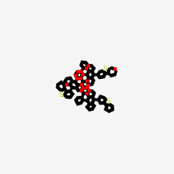 C=Cc1sc2cc(-c3c4ccccc4c(-c4ccccc4-c4ccccc4)c4cc(-c5ccc(-c6ccccc6-c6c7ccccc7c(-c7ccc8sc9ccccc9c8c7)c7ccc(-c8ccc(-c9ccccc9-c9c%10ccccc%10c(-c%10cccc%11sc%12ccccc%12c%10%11)c%10ccccc9%10)cc8)cc67)cc5)ccc34)ccc2c1/C=C\C